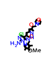 COc1c(C)cnc(CN2C(=O)C(=Cc3cc(C(=O)CN4CCOCC4)c[nH]3)c3c(Cl)nc(N)nc32)c1C